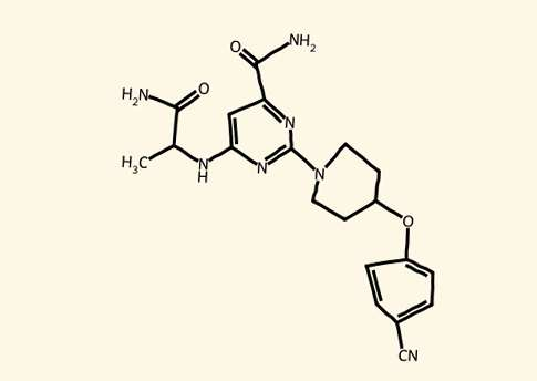 CC(Nc1cc(C(N)=O)nc(N2CCC(Oc3ccc(C#N)cc3)CC2)n1)C(N)=O